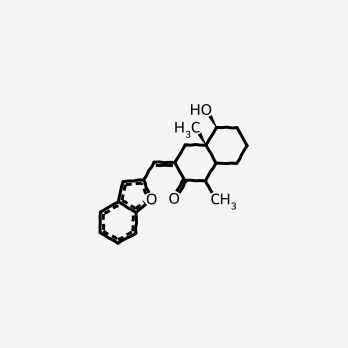 CC1C(=O)/C(=C\c2cc3ccccc3o2)C[C@@]2(C)C1CCC[C@@H]2O